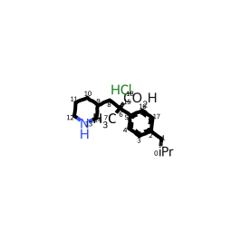 CC(C)Cc1ccc(C(C)(CC2CCCNC2)C(=O)O)cc1.Cl